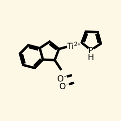 CC1[C]([Ti+2][c]2ccc[pH]2)=Cc2ccccc21.C[O-].C[O-]